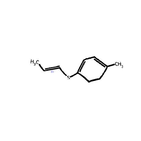 C/C=C/SC1=CC=C(C)CC1